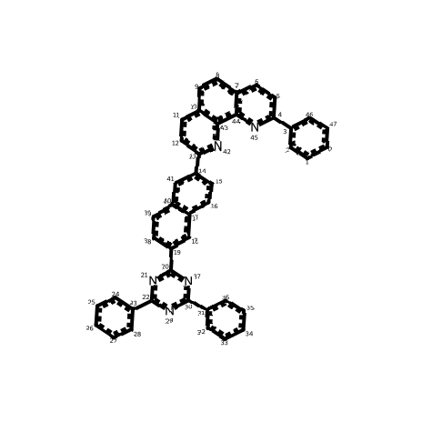 c1ccc(-c2ccc3ccc4ccc(-c5ccc6cc(-c7nc(-c8ccccc8)nc(-c8ccccc8)n7)ccc6c5)nc4c3n2)cc1